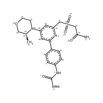 CNC(=O)Nc1ccc(-c2nc(CS(=O)(=O)CC(N)=O)cc(N3CCOC[C@@H]3C)n2)cc1